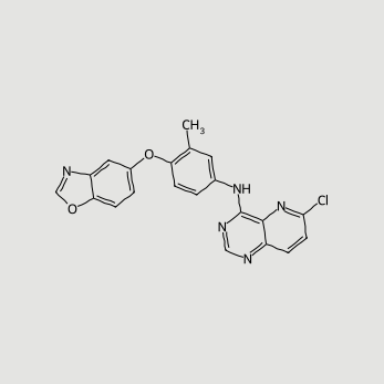 Cc1cc(Nc2ncnc3ccc(Cl)nc23)ccc1Oc1ccc2ocnc2c1